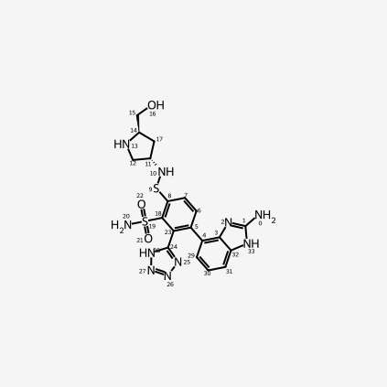 Nc1nc2c(-c3ccc(SN[C@@H]4CN[C@@H](CO)C4)c(S(N)(=O)=O)c3-c3nnn[nH]3)cccc2[nH]1